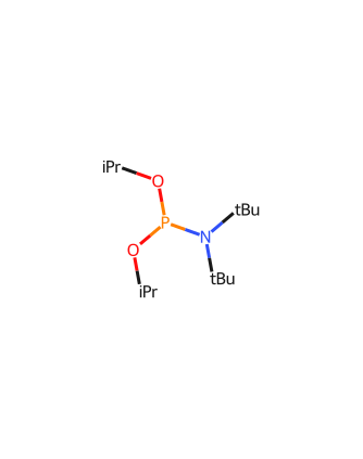 CC(C)OP(OC(C)C)N(C(C)(C)C)C(C)(C)C